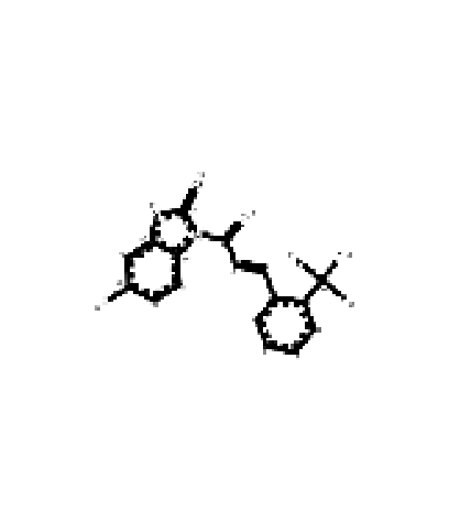 O=C(/C=C/c1ccccc1C(F)(F)F)n1c(=O)sc2cc(F)ccc21